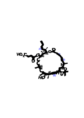 C=C/C=C\[C@H](C)[C@@H]1OC(=O)/C=C\C=C\[C@@H](C)[C@@H]2C[C@@H](/C=C\[C@H](C)[C@H](O)[C@@H](C)C[C@@H](C)CC[C@@H](OC(=O)CCC(=O)O)[C@@H]1C)OC(C)(C)O2